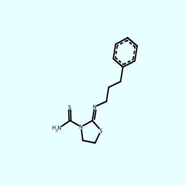 NC(=S)N1CCSC1=NCCCc1ccccc1